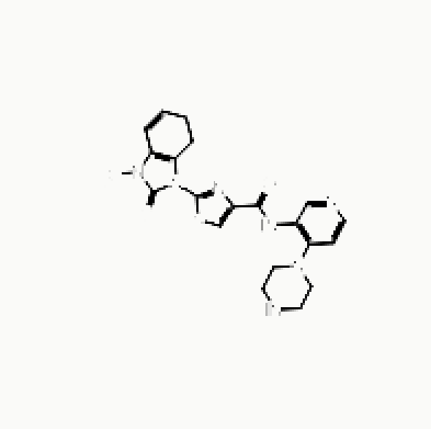 Cn1c2c(n(-c3nc(C(=O)Nc4cnccc4N4CCNCC4)cs3)c1=O)CCC=C2